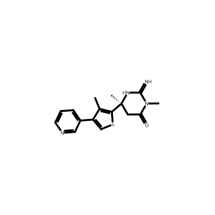 Cc1c(-c2cccnc2)csc1[C@]1(C)CC(=O)N(C)C(=N)N1